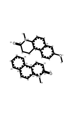 COc1ccc2c3c(ccc2c1)N(C)C(=O)CC3.Cn1c(=O)ccc2c3ccccc3ccc21